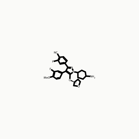 COc1ccc(-c2c(-c3ccc(C#N)c(F)c3)nn(C3CCC(N)CC3)c2O[C@H]2CCOC2)cc1F